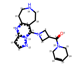 O=C(C1CN(c2c3c(nc4ccnn24)CCNCC3)C1)N1CC=CCC1